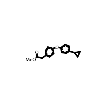 COC(=O)Cc1ccc(Oc2ccc(C3CC3)cc2)cc1